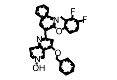 Cc1c(Oc2nc3ccccc3cc2-c2cc(OCc3ccccc3)c3c[n+](O)ccc3n2)ccc(F)c1F